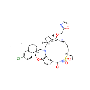 CC[C@@H]1CC/C=C/[C@H](OCc2ncco2)[C@@H]2CC[C@H]2CN2C[C@@]3(CCCc4cc(Cl)ccc43)COc3ccc(cc32)C(=O)NS1(=O)=O